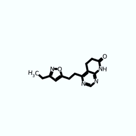 CCc1cc(CCc2ncnc3c2CCC(=O)N3)on1